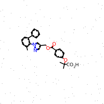 Cc1cccc(-c2ccccc2)c1-n1cc(COC(=O)c2ccc(OC(C)(C)C(=O)O)cc2)cn1